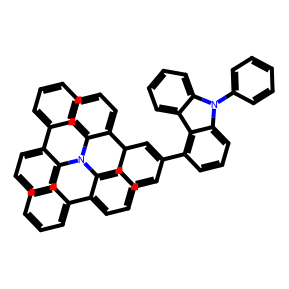 C1=CC(c2cccc3c2c2ccccc2n3-c2ccccc2)=CC(c2ccccc2N(c2ccccc2-c2ccccc2)c2ccccc2-c2ccccc2)C1